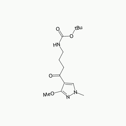 COc1nn(C)cc1C(=O)CCCNC(=O)OC(C)(C)C